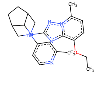 Cc1ccc(OCC(F)(F)F)c2nc(NC3C4CCC3CN(c3ccnc(C(F)(F)F)c3)C4)nn12